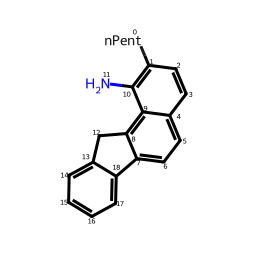 CCCCCc1ccc2ccc3c(c2c1N)Cc1ccccc1-3